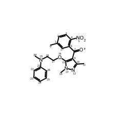 Cc1ccc([N+](=O)[O-])c(C(=O)c2c(C)nn(C)c2OCCN(C)c2ccccc2)c1